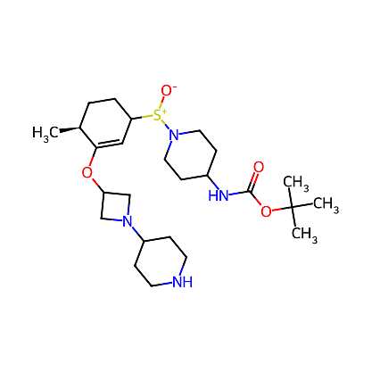 C[C@H]1CCC([S+]([O-])N2CCC(NC(=O)OC(C)(C)C)CC2)C=C1OC1CN(C2CCNCC2)C1